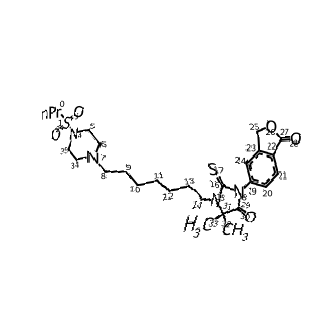 CCCS(=O)(=O)N1CCN(CCCCCCCN2C(=S)N(c3ccc4c(c3)COC4=O)C(=O)C2(C)C)CC1